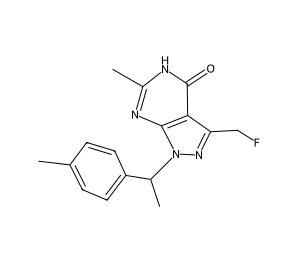 Cc1ccc(C(C)n2nc(CF)c3c(=O)[nH]c(C)nc32)cc1